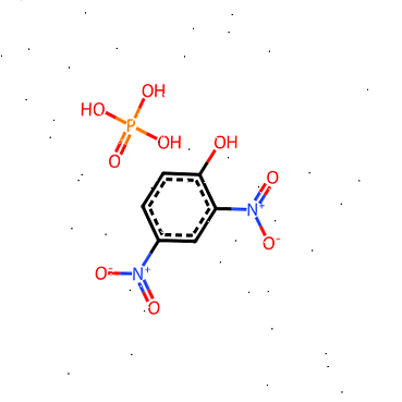 O=P(O)(O)O.O=[N+]([O-])c1ccc(O)c([N+](=O)[O-])c1